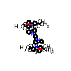 CC(C)(C)c1ccc(N(c2cc(C(C)(C)C)ccc2-c2ccccc2)c2ccc3c4cc5c(cc4n4c6ccccc6c2c34)c2ccc(N(c3ccc(C(C)(C)C)cc3)c3cc(C(C)(C)C)ccc3-c3ccccc3)c3c4ccccc4n5c23)cc1